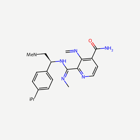 C=Nc1c(C(N)=O)ccnc1/C(=N\C)N[C@H](CNC)c1ccc(C(C)C)cc1